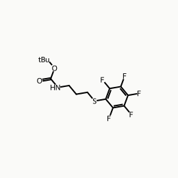 CC(C)(C)OC(=O)NCCCSc1c(F)c(F)c(F)c(F)c1F